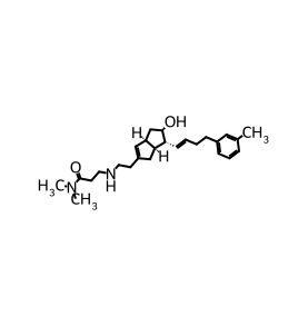 Cc1cccc(CC/C=C/[C@@H]2[C@H]3CC(CCNCCC(=O)N(C)C)=C[C@H]3C[C@H]2O)c1